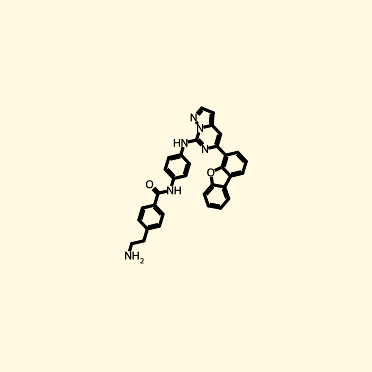 NCCc1ccc(C(=O)Nc2ccc(Nc3nc(-c4cccc5c4oc4ccccc45)cc4ccnn34)cc2)cc1